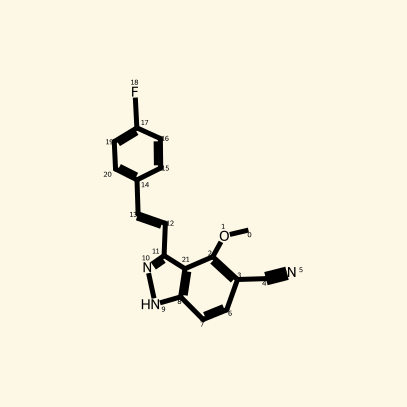 COc1c(C#N)ccc2[nH]nc(C=Cc3ccc(F)cc3)c12